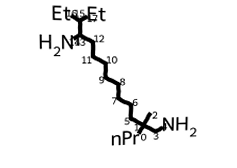 CCCC(C)(CN)CCCCCCCCC(N)C(CC)CC